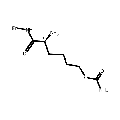 CC(C)NC(=O)[C@@H](N)CCCCOC(N)=O